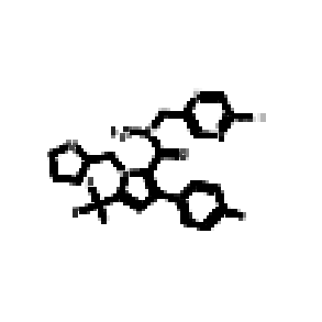 Cc1cnc(CN(C)C(=O)c2c(-c3ccc(F)cc3)cc(C(F)(F)F)n2CC2CCCO2)cn1